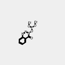 CCOP(OCC)On1nnc2ccccc2c1=O